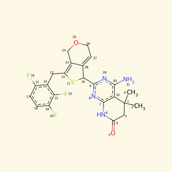 CC1(C)CC(=O)Nc2nc(C3SC(Cc4c(F)ccc(F)c4F)=C4COCC=C43)nc(N)c21